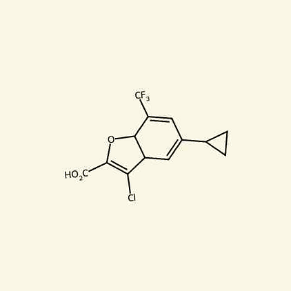 O=C(O)C1=C(Cl)C2C=C(C3CC3)C=C(C(F)(F)F)C2O1